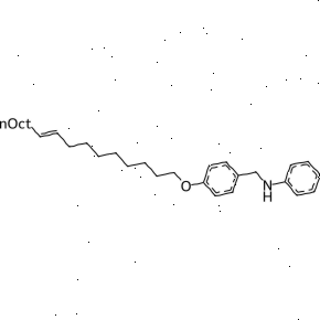 CCCCCCCC/C=C/CCCCCCCCOc1ccc(CNc2ccccc2)cc1